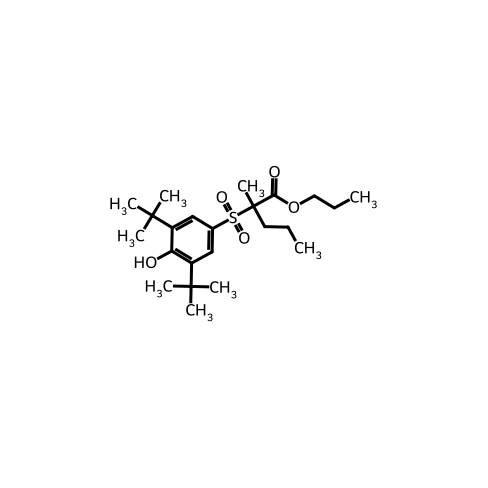 CCCOC(=O)C(C)(CCC)S(=O)(=O)c1cc(C(C)(C)C)c(O)c(C(C)(C)C)c1